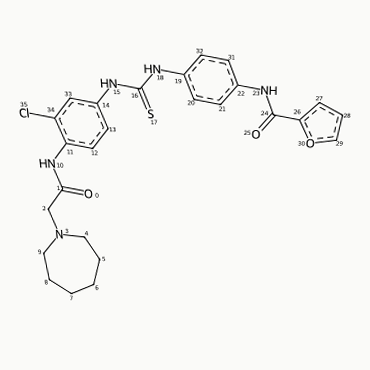 O=C(CN1CCCCCC1)Nc1ccc(NC(=S)Nc2ccc(NC(=O)c3ccco3)cc2)cc1Cl